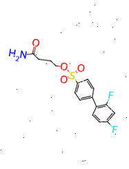 NC(=O)CCCOS(=O)(=O)c1ccc(-c2ccc(F)cc2F)cc1